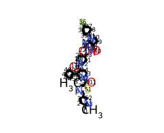 Cc1ccc(-c2nc(C)c(C(=O)N3CC[C@@H](C(=O)N4CCC(O)(Cn5cnc6c(ccn6-c6ccc(F)cc6)c5=O)CC4)[C@H](c4ccccc4)C3)s2)cn1